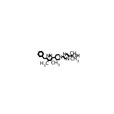 Cc1c(Cc2ccccc2)nnc(C2CCN(c3cnc(C(C)(C)O)cn3)CC2)c1C